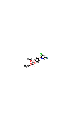 CCOC(=O)C(Oc1ccc(Oc2ncc(C(F)(F)F)cc2Cl)cc1)C(=O)OCC